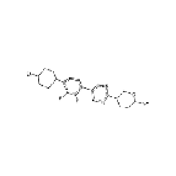 CCCC1CCC(c2ncc(-c3ccc(C4CCC(CC)CC4)c(F)c3F)cn2)CO1